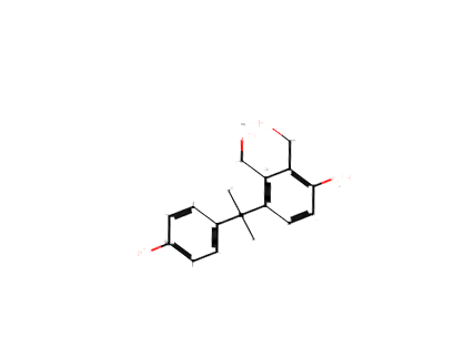 CC(C)(c1ccc(O)cc1)c1ccc(O)c(CO)c1CO